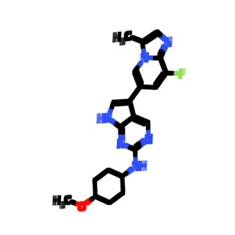 CO[C@H]1CC[C@@H](Nc2ncc3c(-c4cc(F)c5ncc(C)n5c4)c[nH]c3n2)CC1